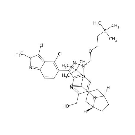 Cn1nc2ccc(-c3nn(COCCS(C)(C)C)c4nc(N5[C@@H]6CC[C@@H]5CN(C(=O)OC(C)(C)C)C6)c(CO)nc34)c(Cl)c2c1Cl